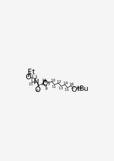 CCOC1CN(C(=O)C23CC(CCCCCCCOC(C)(C)C)(C2)C3)C1